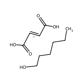 CCCCCCO.O=C(O)/C=C/C(=O)O